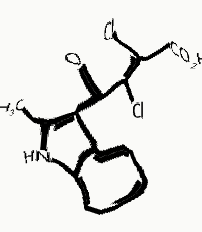 Cc1[nH]c2ccccc2c1C(=O)C(Cl)=C(Cl)C(=O)O